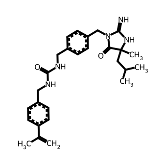 C=C(C)c1ccc(CNC(=O)NCc2ccc(CN3C(=N)NC(C)(CC(C)C)C3=O)cc2)cc1